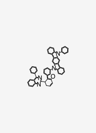 C1=Cc2oc3c(-n4c5ccccc5c5cc6c(cc54)c4ccccc4n6-c4ccccc4)cccc3c2C(c2nc(-c3ccccc3)c3ccccc3n2)C1